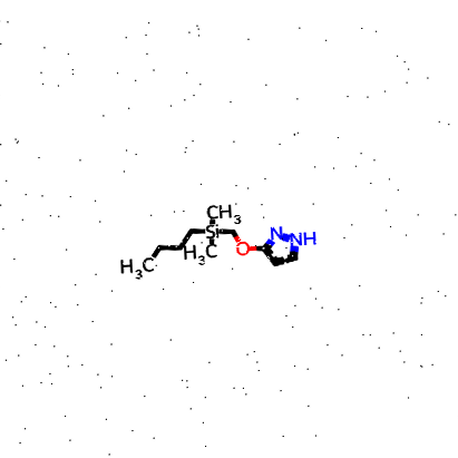 CCCC[Si](C)(C)COc1cc[nH]n1